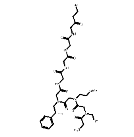 COCCN(CC(=O)N(CC(=O)NCC(=O)NCC(=O)NCC(=O)NCC(=O)CCC(C)=O)C[C@H](C)c1ccccc1)C(=O)CN(CC(C)C)C(=O)CN